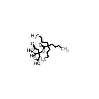 CCCCC(CCCC)(CCCC)C(=O)OC(CC(=O)O)(CC(=O)O)C(=O)O